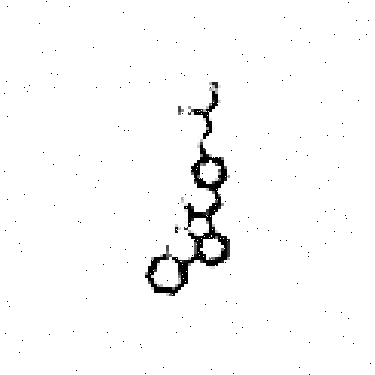 O=C1Nc2c(C3=CC=CC=CN3)cccc2C1=Cc1ccc(OCC(O)CO)cc1